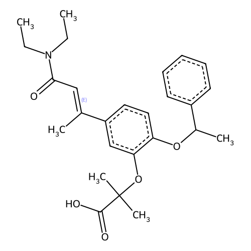 CCN(CC)C(=O)/C=C(\C)c1ccc(OC(C)c2ccccc2)c(OC(C)(C)C(=O)O)c1